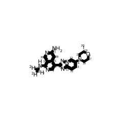 [2H]C([2H])([2H])Nc1ncc(-c2nc3ccc(N4CCO[C@@H](C)C4)cn3n2)c2cc(N)ncc12